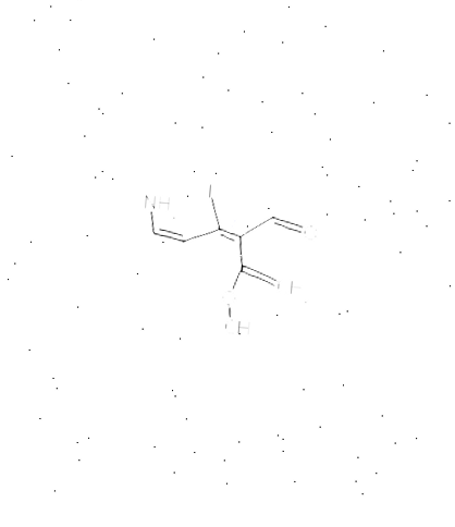 C=C(OC)/C(C=O)=C(I)\C=C/N